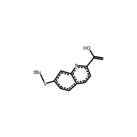 C=C(O)c1ccc2ccc(SC(C)(C)C)cc2n1